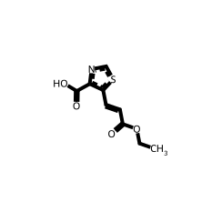 CCOC(=O)C=Cc1scnc1C(=O)O